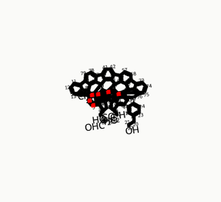 O=COCCc1ccc([C@@]23c4c5ccc6c4[C@]4(c7ccc(CCO)cc7)C7=C8C9=C([C@@]%10(c%11ccc(CCC(=O)O)cc%11)c%11c(ccc%12c%11[C@]9(c9ccc(CCC(=O)O)cc9)c9c-%12ccc%11c9[C@]8(c8ccc(CCO)cc8)c8c-%11ccc-6c84)-c4ccc-5c2c4%10)[C@]73Cl)cc1